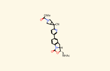 COC(=O)N1CC2C(C1)C2(C#N)c1ccc(-c2ccc3c(c2)C[C@H]2[C@H](CNC(C)=O)OC(=O)N32)cn1